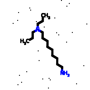 CCCN(CCC)CCCCCCCCCN